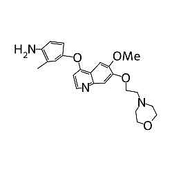 COc1cc2c(Oc3ccc(N)c(C)c3)ccnc2cc1OCCN1CCOCC1